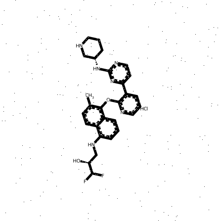 Cc1ccc2c(NC[C@H](O)C(F)F)cccc2c1Oc1ncccc1-c1ccnc(N[C@H]2CCCNC2)n1.Cl